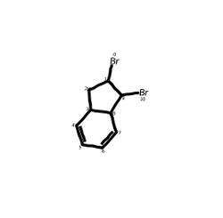 BrC1[C]C2C=CC=CC2C1Br